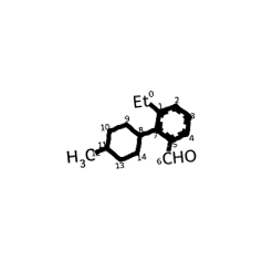 CCc1cccc(C=O)c1C1CCC(C)CC1